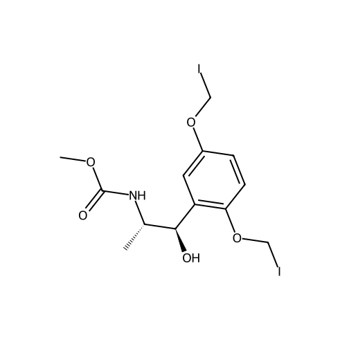 COC(=O)N[C@@H](C)[C@H](O)c1cc(OCI)ccc1OCI